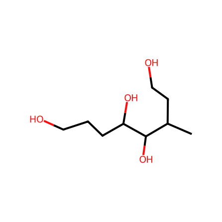 CC(CCO)C(O)C(O)CCCO